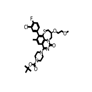 COCCO[C@@H]1CSc2c(-c3ccc(F)c(Cl)c3)c(C)cc3c(N4CCN(C(=O)OC(C)(C)C)CC4)nc(=O)n(c23)C1